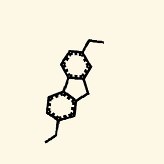 CCc1ccc2c(c1)Cc1cc(CC)ccc1-2